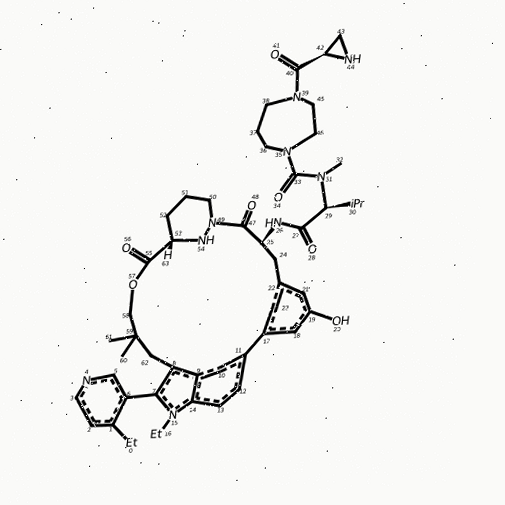 CCc1ccncc1-c1c2c3cc(ccc3n1CC)-c1cc(O)cc(c1)C[C@H](NC(=O)[C@H](C(C)C)N(C)C(=O)N1CCCN(C(=O)[C@H]3CN3)CC1)C(=O)N1CCC[C@H](N1)C(=O)OCC(C)(C)C2